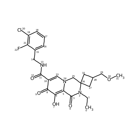 CCN1C(=O)c2c(O)c(=O)c(C(=O)NCc3cccc(Cl)c3F)cn2CC12CC(COC)C2